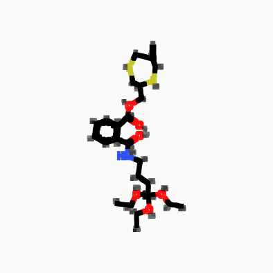 C=C1CSCC(COC(=O)c2ccccc2C(=O)NCCC[Si](OCC)(OCC)OCC)SC1